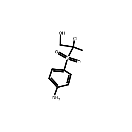 CC(Cl)(CO)S(=O)(=O)c1ccc(N)cc1